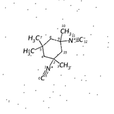 [C-]#[N+]C1(C)CC(C)(C)CC(C)([N+]#[C-])C1